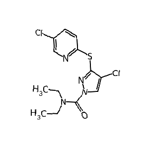 CCN(CC)C(=O)n1cc(Cl)c(Sc2ccc(Cl)cn2)n1